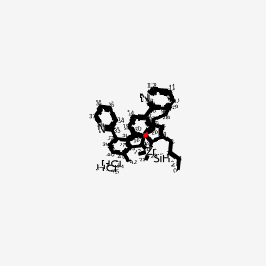 CCCCC1=Cc2c(-c3ccccn3)ccc(C)c2[CH]1[Zr]([CH3])([CH3])(=[SiH2])[CH]1C(CCCC)=Cc2c(-c3ccccn3)ccc(C)c21.Cl.Cl